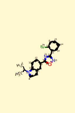 CC(C)n1ccc2cc(-c3nc(-c4ccccc4Br)no3)ccc21